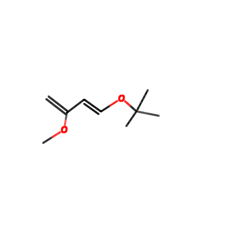 C=C(/C=C/OC(C)(C)C)OC